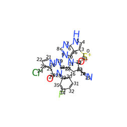 C[S@+]([O-])c1c[nH]c2ncnc(N3C[C@@H](C#N)C[C@H]3c3nn4ccc(Cl)c4c(=O)n3-c3cccc(F)c3)c12